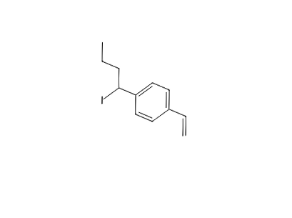 C=Cc1ccc(C(I)CCC)cc1